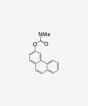 CNC(=O)Oc1ccc2ccc3ccccc3c2c1